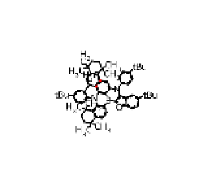 Cc1cc2c3c(c1)N(c1ccc(C(C)(C)C)cc1)c1c(oc4ccc(C(C)(C)C)cc14)B3c1ccc3c(c1N2c1ccc(C(C)(C)C)cc1-c1ccc2c(c1)C(C)(C)CCC2(C)C)C(C)(C)CCC3(C)C